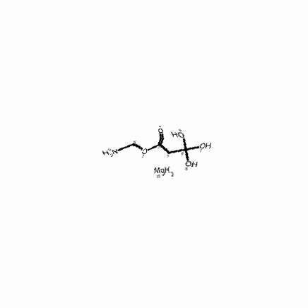 NCOC(=O)CC(O)(O)O.[MgH2]